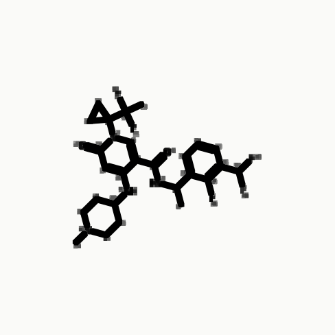 CC(NC(=O)c1cn(C2(C(C)(F)F)CC2)c(=O)cc1NC1CCN(C)CC1)c1cccc(C(F)F)c1F